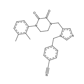 Cc1cccc(N2CCN(Cc3cncn3Cc3ccc(C#N)cc3)C(=O)C2=O)c1C